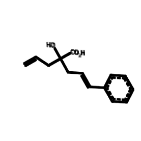 C=CCC(O)(CC=Cc1ccccc1)C(=O)O